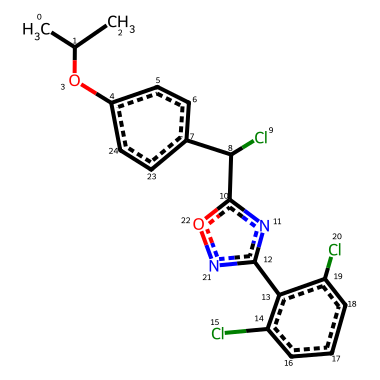 CC(C)Oc1ccc(C(Cl)c2nc(-c3c(Cl)cccc3Cl)no2)cc1